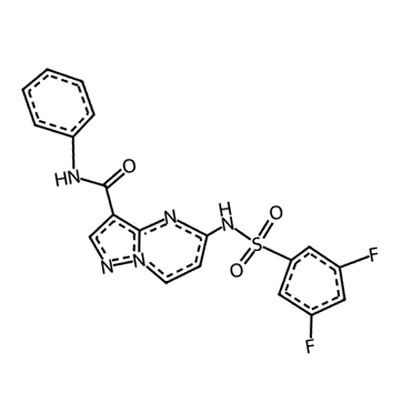 O=C(Nc1ccccc1)c1cnn2ccc(NS(=O)(=O)c3cc(F)cc(F)c3)nc12